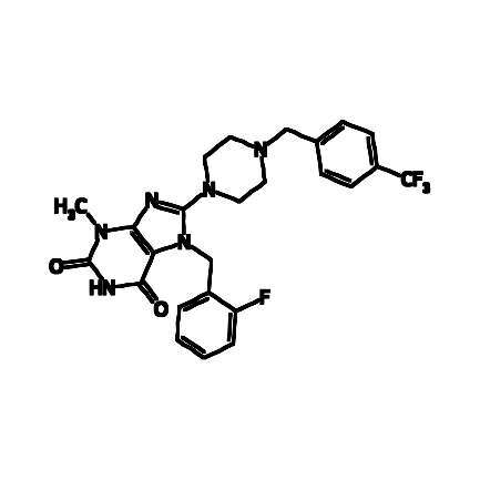 Cn1c(=O)[nH]c(=O)c2c1nc(N1CCN(Cc3ccc(C(F)(F)F)cc3)CC1)n2Cc1ccccc1F